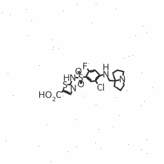 O=C(O)c1cnc(NS(=O)(=O)c2cc(Cl)c(NCC34CCCN3CCC4)cc2F)s1